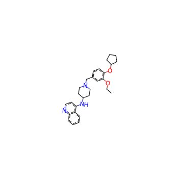 CCOc1cc(CN2CCC(Nc3ccnc4ccccc34)CC2)ccc1OC1CCCC1